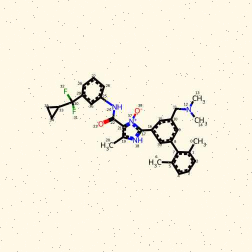 Cc1cccc(C)c1-c1cc(CN(C)C)cc(-c2[nH]c(C)c(C(=O)Nc3cccc(C(F)(F)C4CC4)c3)[n+]2[O-])c1